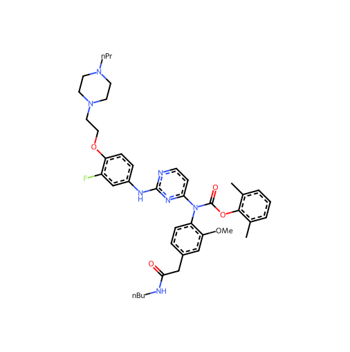 CCCCNC(=O)Cc1ccc(N(C(=O)Oc2c(C)cccc2C)c2ccnc(Nc3ccc(OCCN4CCN(CCC)CC4)c(F)c3)n2)c(OC)c1